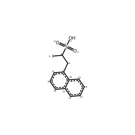 O=S(=O)(O)C(I)Cc1cccc2ccccc12